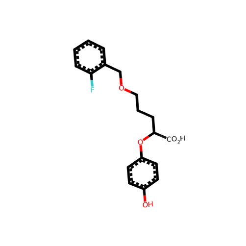 O=C(O)C(CCCOCc1ccccc1F)Oc1ccc(O)cc1